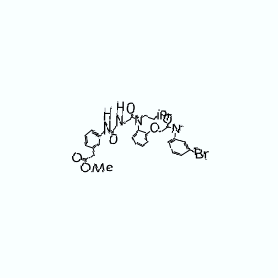 COC(=O)Cc1cccc(NC(=O)NCC(=O)N(CCC(C)C)c2ccccc2OCC(=O)N(C)c2cccc(Br)c2)c1